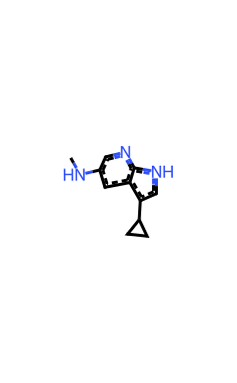 CNc1cnc2[nH]cc(C3CC3)c2c1